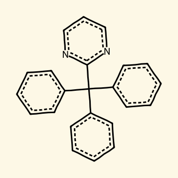 c1ccc(C(c2ccccc2)(c2ccccc2)c2ncccn2)cc1